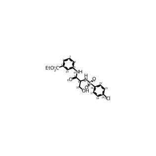 CCOC(=O)c1cccc(NC(=O)C(CO)NS(=O)(=O)c2ccc(Cl)cc2)c1